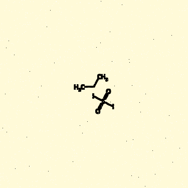 CCC.O=S(=O)(I)I